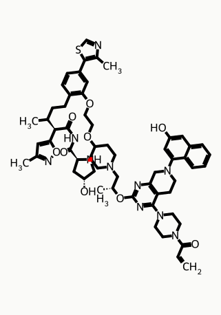 C=CC(=O)N1CCN(c2nc(O[C@H](C)CN3CCC(OCCOc4cc(-c5scnc5C)ccc4CCC(C)[C@@H](C(=O)NC(=O)[C@@H]4C[C@@H](O)CN4)c4cc(C)no4)CC3)nc3c2CCN(c2cc(O)cc4ccccc24)C3)CC1